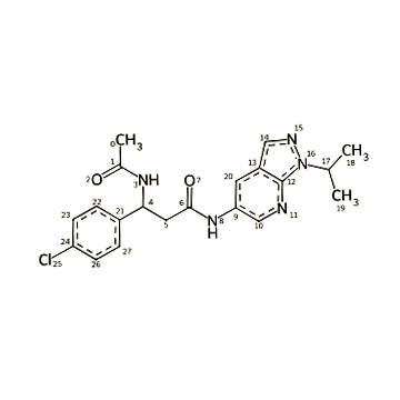 CC(=O)NC(CC(=O)Nc1cnc2c(cnn2C(C)C)c1)c1ccc(Cl)cc1